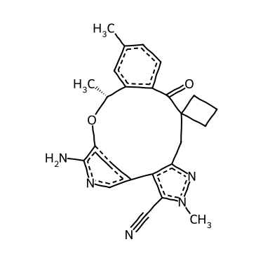 Cc1ccc2c(c1)[C@@H](C)Oc1cc(cnc1N)-c1c(nn(C)c1C#N)CC1(CCC1)C2=O